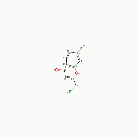 O=c1cc(CF)oc2cc(F)ccc12